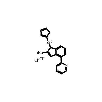 CCCCC1=Cc2c(-c3ccccn3)cccc2[CH]1[Zr+2][C]1=CC=CC1.[Cl-].[Cl-]